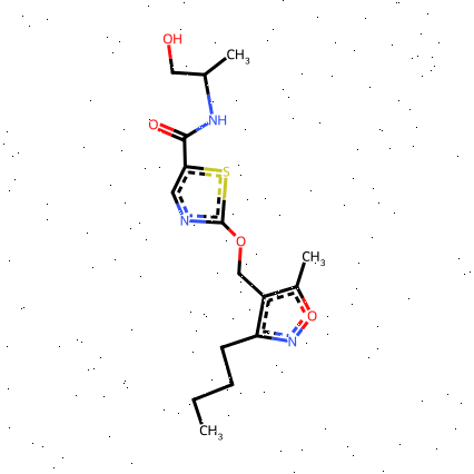 CCCCc1noc(C)c1COc1ncc(C(=O)NC(C)CO)s1